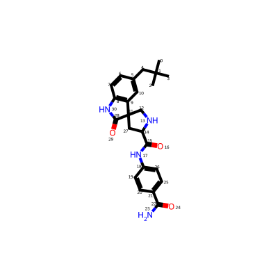 CC(C)(C)Cc1ccc2c(c1)C1(CNC(C(=O)Nc3ccc(C(N)=O)cc3)C1)C(=O)N2